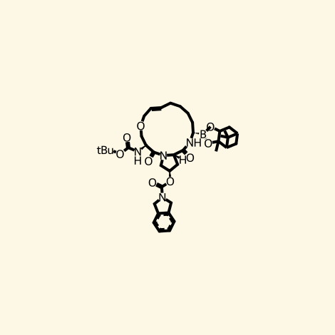 CC(C)(C)OC(=O)N[C@H]1COC/C=C/CCCC[C@H](B2OC3CC4CC(C4(C)C)C3(C)O2)NC(=O)[C@@H]2C[C@@H](OC(=O)N3Cc4ccccc4C3)CN2C1=O